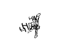 Cc1cc(C[C@@H](NC(=O)N2CCC(N3CCc4ccccc4NC3=O)CC2)C(=O)N2CCN(C3CCOCC3)CC2)cc(Cl)c1O